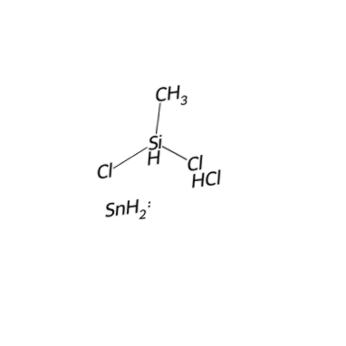 C[SiH](Cl)Cl.Cl.[SnH2]